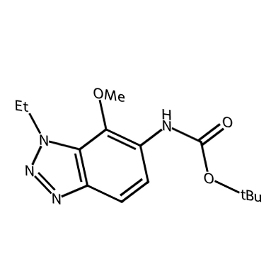 CCn1nnc2ccc(NC(=O)OC(C)(C)C)c(OC)c21